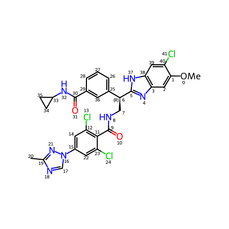 COc1cc2nc([C@@H](CNC(=O)c3c(Cl)cc(-n4cnc(C)n4)cc3Cl)c3cccc(C(=O)NC4CC4)c3)[nH]c2cc1Cl